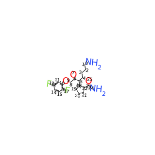 NCCCCC(C(=O)COc1cc(F)ccc1F)[C@@H]1CCCC1C(N)=O